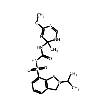 COC1=NC(C)(NC(=O)NS(=O)(=O)c2cccc3c2SN(C(C)C)C3)NC=N1